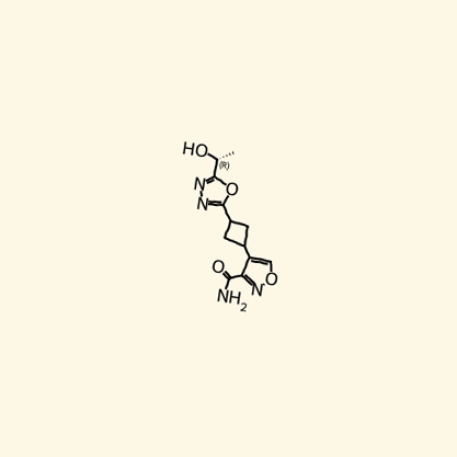 C[C@@H](O)c1nnc(C2CC(c3conc3C(N)=O)C2)o1